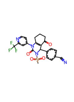 CS(=O)(=O)N1C(=O)N(c2ccnc(C(F)(F)F)c2)C2=C(C(=O)CCC2)C1c1ccc(C#N)cc1